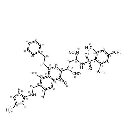 Cc1cc(C)c(S(=O)(=O)NC(CN(C=O)c2cn(CCc3ccccc3)c3c(F)c(CNc4nc(C)c[nH]4)c(F)cc3c2=O)C(=O)O)c(C)c1